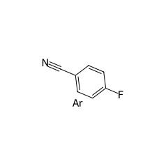 N#Cc1ccc(F)cc1.[Ar]